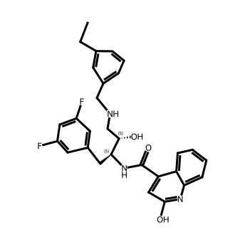 CCc1cccc(CNC[C@H](O)[C@H](Cc2cc(F)cc(F)c2)NC(=O)c2cc(O)nc3ccccc23)c1